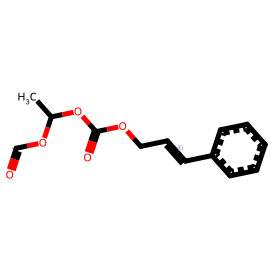 CC(O[C]=O)OC(=O)OC/C=C/c1ccccc1